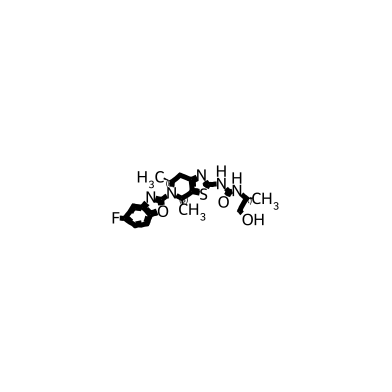 C[C@H](CO)NC(=O)Nc1nc2c(s1)[C@H](C)N(c1nc3cc(F)ccc3o1)[C@H](C)C2